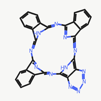 c1ccc2c(c1)-c1nc-2nc2[nH]c(nc3nc(nc4[nH]c(n1)c1ccccc41)-c1ccccc1-3)c1nnnnc21